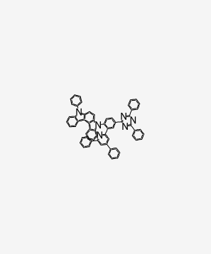 c1ccc(-c2cc(-c3ccccc3)nc(-c3cc(-c4nc(-c5ccccc5)nc(-c5ccccc5)n4)ccc3-n3c4ccccc4c4c5c6ccccc6n(-c6ccccc6)c5ccc43)c2)cc1